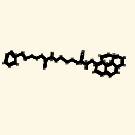 O=C(CCCSSc1ccccn1)NCCCCCC(=O)NCc1ccc2ccc3cccc4ccc1c2c34